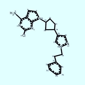 Nc1nc(Cl)nc2c1ccn2C1CCC(c2cnn(CCc3ccccc3)c2)C1